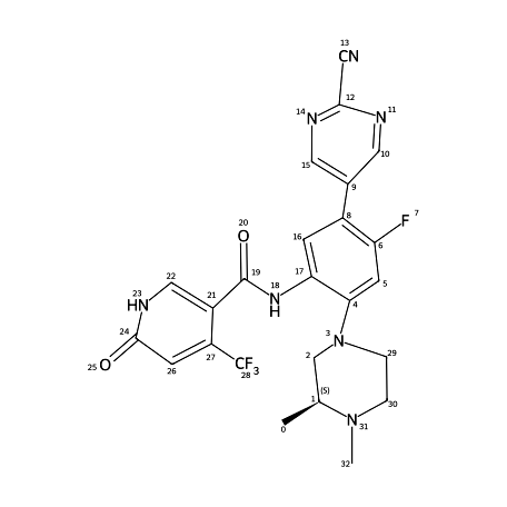 C[C@H]1CN(c2cc(F)c(-c3cnc(C#N)nc3)cc2NC(=O)c2c[nH]c(=O)cc2C(F)(F)F)CCN1C